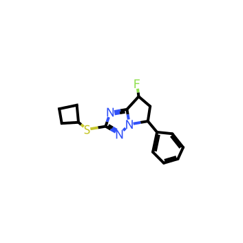 FC1CC(c2ccccc2)n2nc(SC3CCC3)nc21